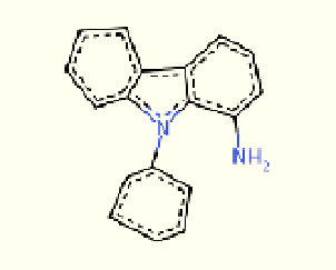 Nc1cccc2c3ccccc3n(-c3ccccc3)c12